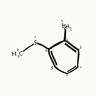 Bc1ccccc1SC